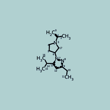 C=C(C)N1CCC(n2nc(CC)cc2C(C)C)C1